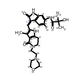 Cc1c(/C=C2/C(=O)Nc3cc(NC(=O)C(C)(C)O)c(F)cc32)[nH]c2c1C(=O)N(CCN1CCOCC1)CC2